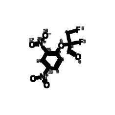 O=CC(F)(CF)Oc1ccc([N+](=O)[O-])cc1[N+](=O)[O-]